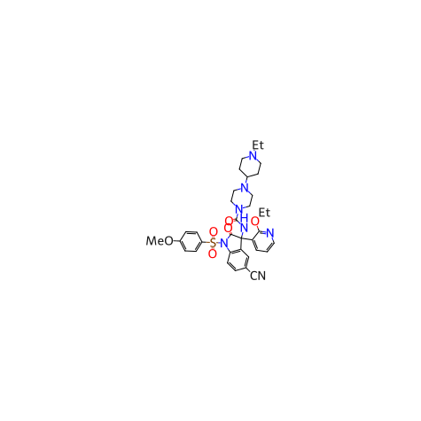 CCOc1ncccc1C1(NC(=O)N2CCN(C3CCN(CC)CC3)CC2)C(=O)N(S(=O)(=O)c2ccc(OC)cc2)c2ccc(C#N)cc21